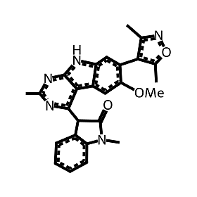 COc1cc2c(cc1-c1c(C)noc1C)[nH]c1nc(C)nc(C3C(=O)N(C)c4ccccc43)c12